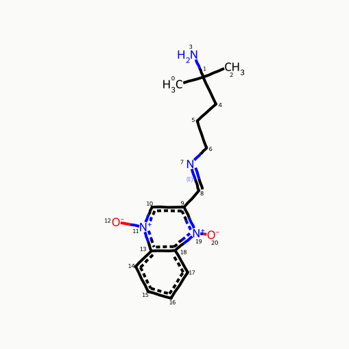 CC(C)(N)CCC/N=C/c1c[n+]([O-])c2ccccc2[n+]1[O-]